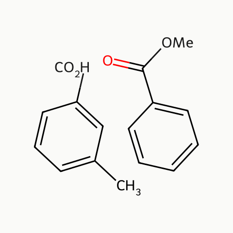 COC(=O)c1ccccc1.Cc1cccc(C(=O)O)c1